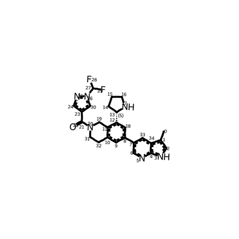 Cc1c[nH]c2ncc(-c3cc4c(c([C@@H]5CCCN5)c3)CN(C(=O)c3cnn(C(F)F)c3)CC4)cc12